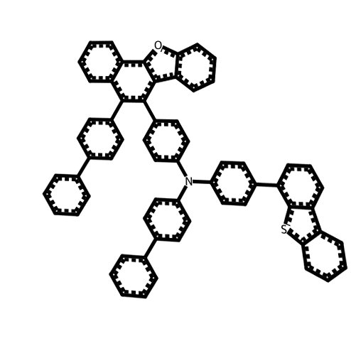 c1ccc(-c2ccc(-c3c(-c4ccc(N(c5ccc(-c6ccccc6)cc5)c5ccc(-c6cccc7c6sc6ccccc67)cc5)cc4)c4c5ccccc5oc4c4ccccc34)cc2)cc1